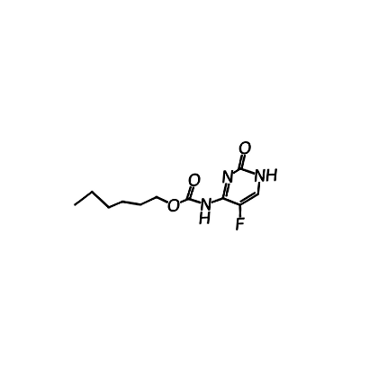 CCCCCCOC(=O)Nc1nc(=O)[nH]cc1F